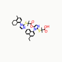 CCc1ccc(-n2c(OC(=O)C(C)(C)Sc3nccn3-c3ccc(C)c4c3CCCC4)cnc2SC(C)(C)C(=O)O)c2ccccc12